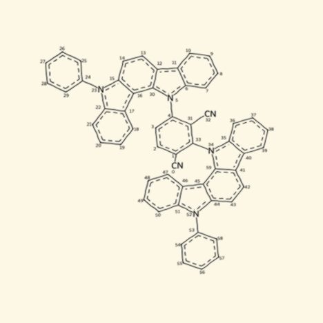 N#Cc1ccc(-n2c3ccccc3c3ccc4c(c5ccccc5n4-c4ccccc4)c32)c(C#N)c1-n1c2ccccc2c2ccc3c(c4ccccc4n3-c3ccccc3)c21